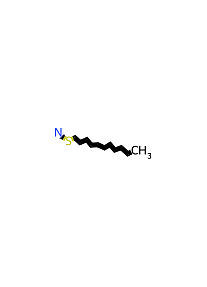 CCCCCCCCCCCSC#N